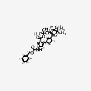 CC(C)(C)OC(=O)n1nc(NC(=O)OCc2ccccc2)cc1C1C=C(B2OC(C)(C)C(C)(C)O2)CC1